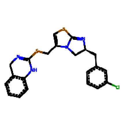 Clc1cccc(C[C@H]2CN3C(CSC4=NCc5ccccc5N4)=CSC3=N2)c1